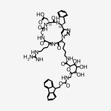 N=C(N)NCCC[C@@H]1NC(=O)[C@H](CCCCNC(=O)C2O[C@H](CNC(=O)OCC3c4ccccc4-c4ccccc43)[C@H](O)C(O)[C@@H]2O)n2cc(nn2)[C@H](Cc2ccccc2)NC(=O)[C@H](CC(=O)O)NC(=O)CNC1=O